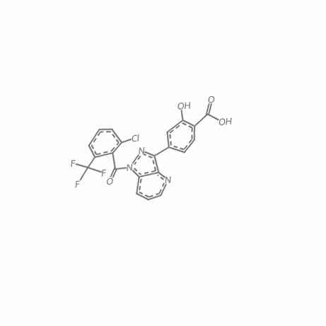 O=C(O)c1ccc(-c2nn(C(=O)c3c(Cl)cccc3C(F)(F)F)c3cccnc23)cc1O